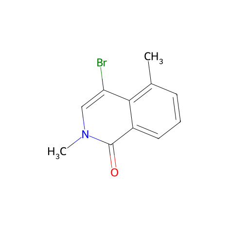 Cc1cccc2c(=O)n(C)cc(Br)c12